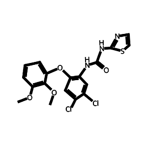 COc1cccc(Oc2cc(Cl)c(Cl)cc2NC(=O)Nc2nccs2)c1OC